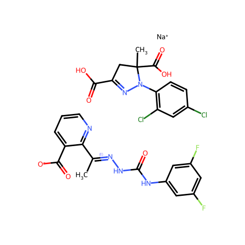 C/C(=N\NC(=O)Nc1cc(F)cc(F)c1)c1ncccc1C(=O)[O-].CC1(C(=O)O)CC(C(=O)O)=NN1c1ccc(Cl)cc1Cl.[Na+]